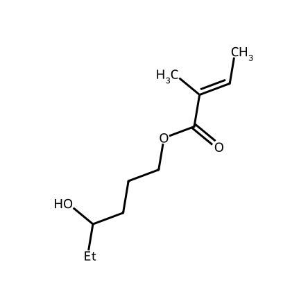 C/C=C(\C)C(=O)OCCCC(O)CC